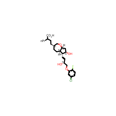 CCCC(CC[C@@H]1CC[C@@H]2[C@@H](C=C[C@@H](O)COc3cc(Cl)ccc3F)[C@H](O)C[C@@H]2OC1)C(=O)O